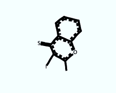 Cc1oc2ccccc2c(=S)c1I